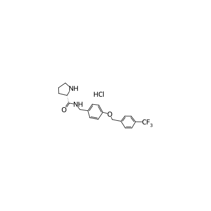 Cl.O=C(NCc1ccc(OCc2ccc(C(F)(F)F)cc2)cc1)[C@@H]1CCCN1